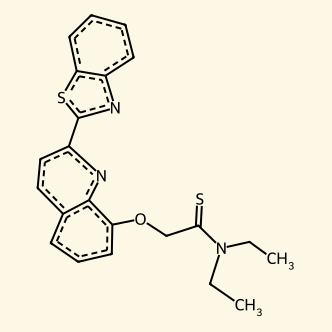 CCN(CC)C(=S)COc1cccc2ccc(-c3nc4ccccc4s3)nc12